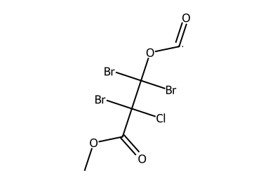 COC(=O)C(Cl)(Br)C(Br)(Br)O[C]=O